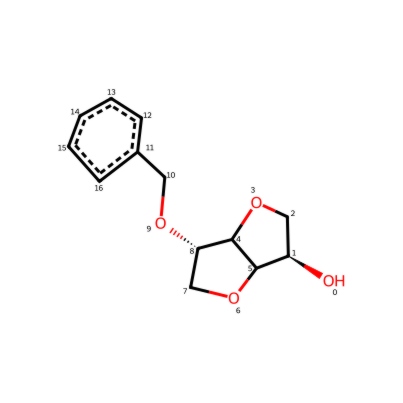 O[C@@H]1COC2C1OC[C@@H]2OCc1ccccc1